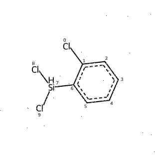 Clc1ccccc1[SiH](Cl)Cl